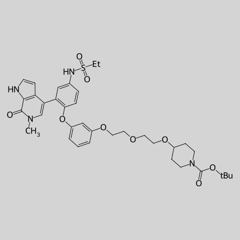 CCS(=O)(=O)Nc1ccc(Oc2cccc(OCCOCCOC3CCN(C(=O)OC(C)(C)C)CC3)c2)c(-c2cn(C)c(=O)c3[nH]ccc23)c1